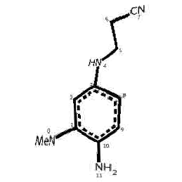 CNc1cc(NCCC#N)ccc1N